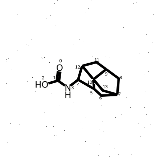 O=C(O)NC1C2CC3CC(C2)CC1C3